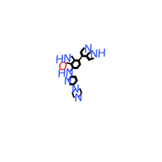 CN1CCN(c2ccc(Nc3ccc(-c4ccnc5[nH]ccc45)c4c3C(=O)NC4)nc2)CC1